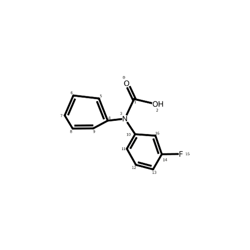 O=C(O)N(c1ccccc1)c1cccc(F)c1